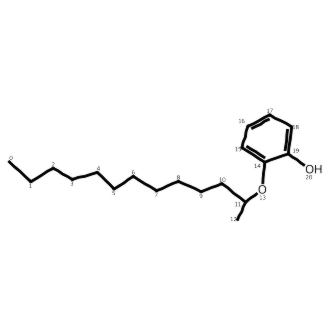 CCCCCCCCCCCC(C)Oc1ccccc1O